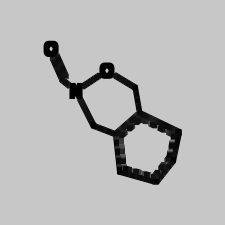 O=CN1Cc2ccccc2CO1